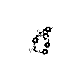 CC(COCc1ccccc1)COc1ccc(CNC(=O)N(Cc2ccc(F)cc2)C2CCN(Cc3ccccc3)CC2)cc1